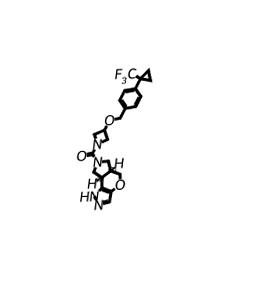 O=C(N1CC(OCc2ccc(C3(C(F)(F)F)CC3)cc2)C1)N1C[C@@H]2COc3cn[nH]c3[C@@H]2C1